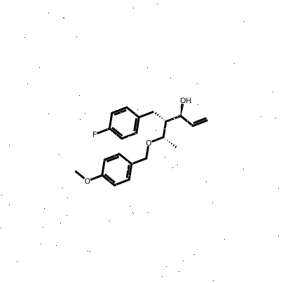 C=C[C@H](O)[C@@H](Cc1ccc(F)cc1)[C@H](C)OCc1ccc(OC)cc1